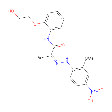 COc1cc([N+](=O)O)ccc1N/N=C(/C(C)=O)C(=O)Nc1ccccc1OCCO